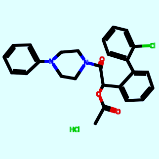 CC(=O)OC(C(=O)N1CCN(c2ccccc2)CC1)c1ccccc1-c1ccccc1Cl.Cl